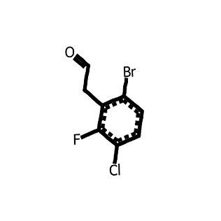 O=CCc1c(Br)ccc(Cl)c1F